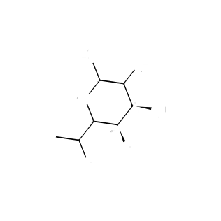 CC(O)C1OC(O)C(O)[C@@H](O)[C@H]1O